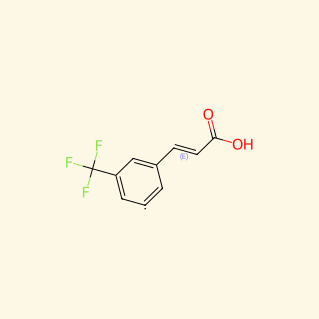 O=C(O)/C=C/c1c[c]cc(C(F)(F)F)c1